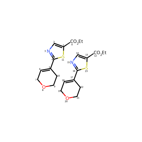 CCOC(=O)c1cnc(C2=CCOCC2)s1.CCOC(=O)c1cnc(C2=CCOCC2)s1